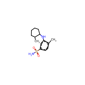 Cc1ccc(S(N)(=O)=O)cc1NC1CCCCC1C